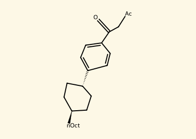 CCCCCCCC[C@H]1CC[C@H](c2ccc(C(=O)CC(C)=O)cc2)CC1